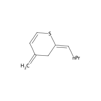 C=C1C=CS/C(=C/CCC)C1